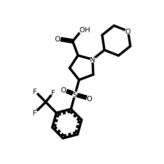 O=C(O)C1CC(S(=O)(=O)c2ccccc2C(F)(F)F)CN1C1CCOCC1